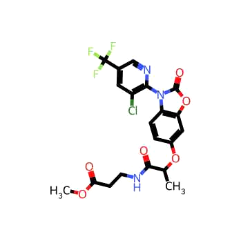 COC(=O)CCNC(=O)C(C)Oc1ccc2c(c1)oc(=O)n2-c1ncc(C(F)(F)F)cc1Cl